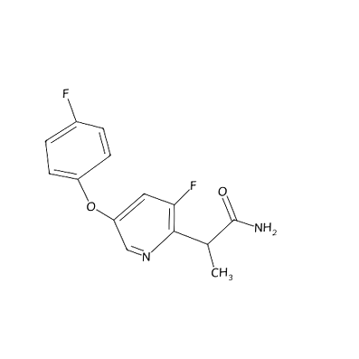 CC(C(N)=O)c1ncc(Oc2ccc(F)cc2)cc1F